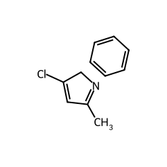 CC1=NCC(Cl)=C1.c1ccccc1